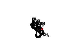 C=C1C=C2C[C@@]3(C1=O)C2[C@@]12CCC[C@@](C)(CO[C@H]1OC)C2C[C@H]3O